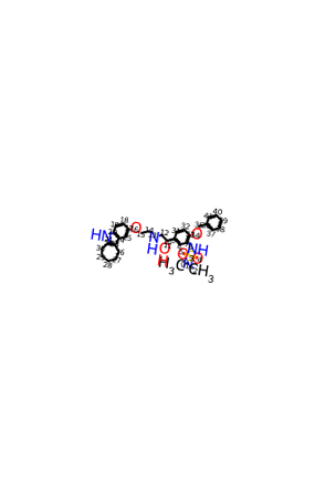 CN(C)S(=O)(=O)Nc1cc(C(O)CNCCOc2ccc3[nH]c4c(c3c2)CCCCC4)ccc1OCc1ccccc1